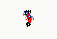 CC(C)(Oc1ccc(F)cc1)C(=O)N[C@H]1C[C@H]2CC[C@@H](C1)N2c1ccc(S(C)(=O)=O)cn1